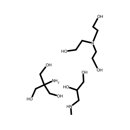 CNCC(O)CO.NC(CO)(CO)CO.OCCN(CCO)CCO